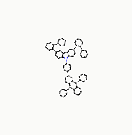 c1ccc(-c2ccccc2-c2ccc3c(c2)c2cc(-c4ccccc4-c4ccccc4)ccc2n3-c2ccc(-c3ccc4c(-c5ccccc5)c5ccccc5c(-c5ccccc5)c4c3)cc2)cc1